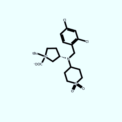 CC(C)(C)[N+]1(C(=O)[O-])CC[C@H](N(Cc2ccc(Cl)cc2Cl)C2CCS(=O)(=O)CC2)C1